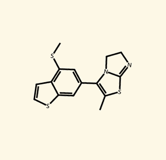 CSc1cc(C2=C(C)SC3=NCCN32)cc2sccc12